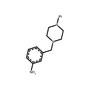 CC(C)N1CCN(Cc2cccc(N)c2)CC1